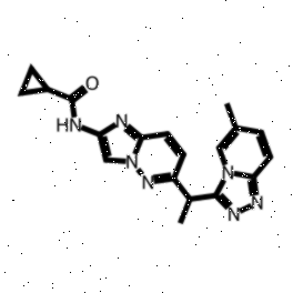 Cc1ccc2nnc(C(C)c3ccc4nc(NC(=O)C5CC5)cn4n3)n2c1